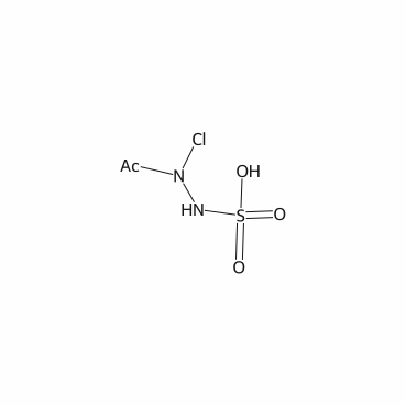 CC(=O)N(Cl)NS(=O)(=O)O